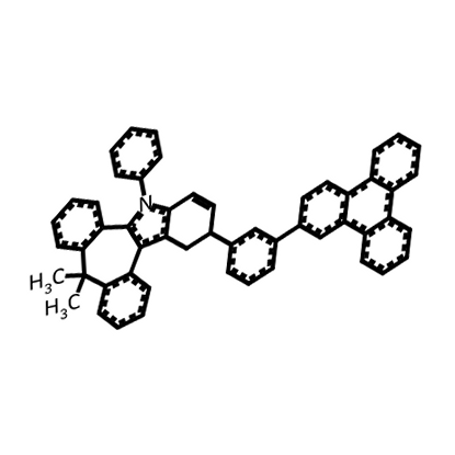 CC1(C)c2ccccc2-c2c3c(n(-c4ccccc4)c2-c2ccccc21)C=CC(c1cccc(-c2ccc4c5ccccc5c5ccccc5c4c2)c1)C3